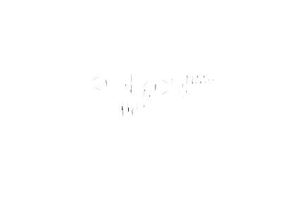 CNC(=O)Oc1ccc2c(c1)c1c(n2C)C(NCCc2ccccc2)CC1.Cl.O